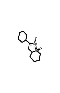 O=S1(=O)CCCCN1C[C@@H](NCl)C1CCCCC1